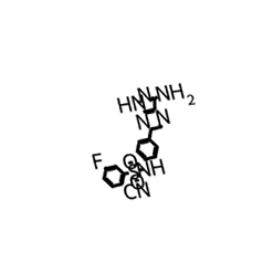 N#Cc1ccc(F)cc1S(=O)(=O)Nc1ccc(-c2cnc3c(N)n[nH]c3n2)cc1